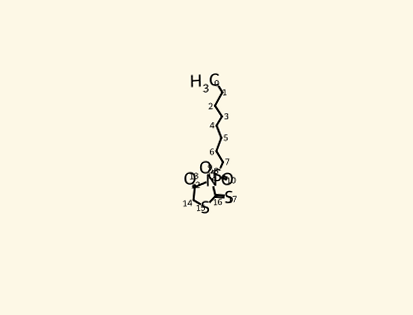 CCCCCCCCS(=O)(=O)N1C(=O)CSC1=S